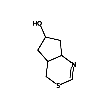 OC1CC2CSC=NC2C1